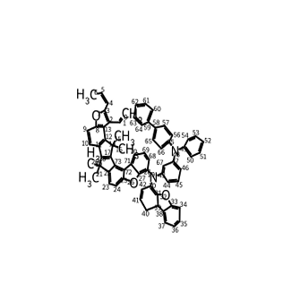 C=Cc1c(/C=C\C)oc2ccc3c(c12)C(C)(C)C1=C3C(C)(C)c2ccc3oc4c(N(C5=C6Oc7ccccc7C6CC=C5)c5cccc(N(c6ccccc6)c6ccc(-c7ccccc7)cc6)c5)cccc4c3c21